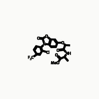 COC(=O)C(C)NC(=O)C(C)Oc1ccc2c(c1)oc(=O)n2-c1ccc(C(F)(F)F)cc1Cl